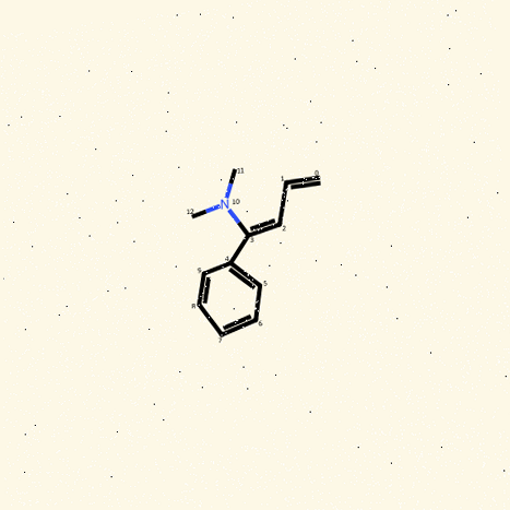 C=CC=C(c1ccccc1)N(C)C